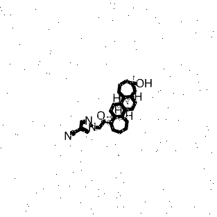 C[C@@]1(O)CCC[C@@]2(C)[C@H](CC[C@@H]3[C@@H]2CC[C@]2(C)[C@H](C(=O)Cn4cc(C#N)cn4)CCCC[C@@H]32)C1